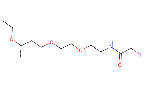 CCOC(C)CCOCCOCCNC(=O)CI